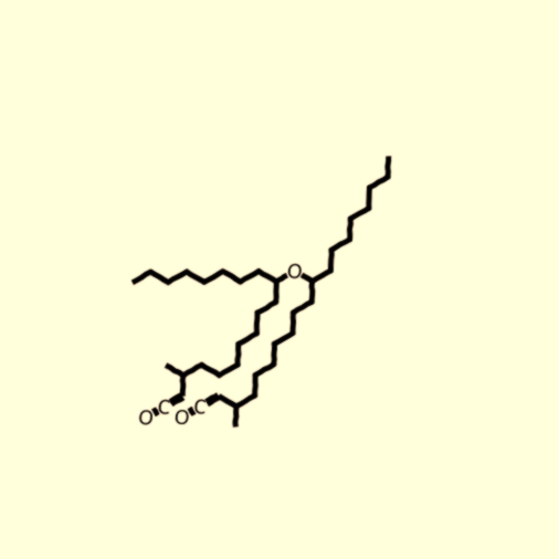 CCCCCCCCC(CCCCCCCC(C)C=C=O)OC(CCCCCCCC)CCCCCCCC(C)C=C=O